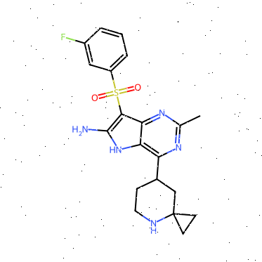 Cc1nc(C2CCNC3(CC3)C2)c2[nH]c(N)c(S(=O)(=O)c3cccc(F)c3)c2n1